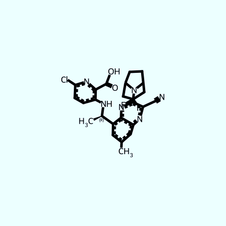 Cc1cc([C@@H](C)Nc2ccc(Cl)nc2C(=O)O)c2nc(N3C4CCC3CC(F)(F)C4)c(C#N)nc2c1